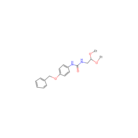 CCOC(CNC(=O)Nc1ccc(OCc2ccccc2)cc1)OCC